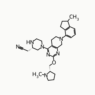 CC1CCc2c1cccc2N1CCc2c(nc(OC[C@@H]3CCCN3C)nc2N2CCN[C@@H](CC#N)C2)C1